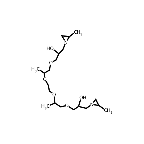 CC(COCC(O)CN1CC1C)OCCOC(C)COCC(O)CN1CC1C